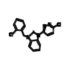 Clc1ccc(N2[CH]N(Cc3ccccc3Cl)c3ccccc32)nn1